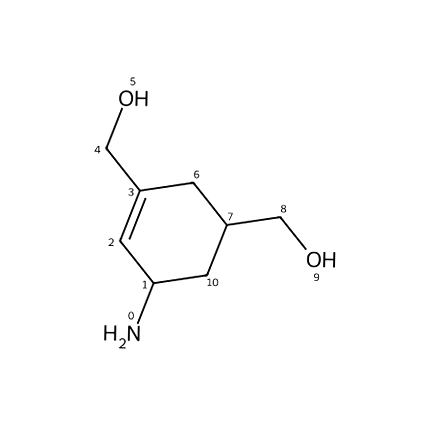 NC1C=C(CO)CC(CO)C1